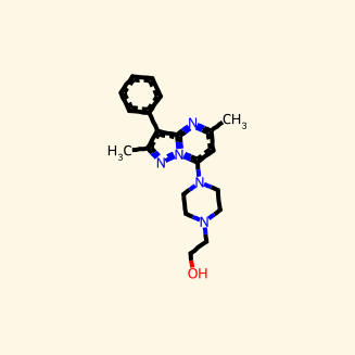 Cc1cc(N2CCN(CCO)CC2)n2nc(C)c(-c3ccccc3)c2n1